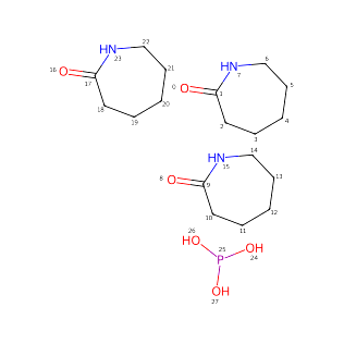 O=C1CCCCCN1.O=C1CCCCCN1.O=C1CCCCCN1.OP(O)O